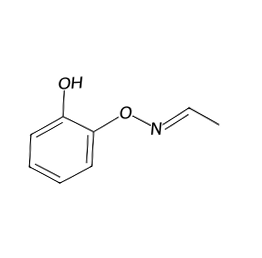 CC=NOc1ccccc1O